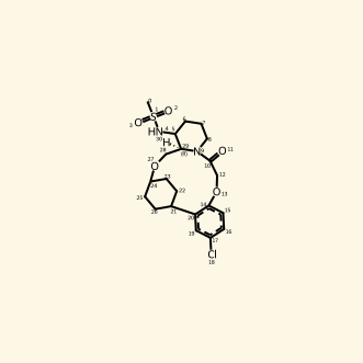 CS(=O)(=O)NC1CCCN2C(=O)COc3ccc(Cl)cc3C3CCC(CC3)OC[C@@H]12